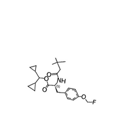 CC(C)(C)CC(=O)N[C@@H](Cc1ccc(OCF)cc1)C(=O)OC(C1CC1)C1CC1